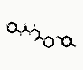 C[C@H](CC(=O)N1CCC[C@@H](Cc2ccc(F)cc2)C1)NC(=O)Nc1ccncc1